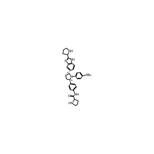 CC(C)(C)c1ccc(N2[C@@H](c3ccc(NC(=O)C4CCCN4)cc3)CC[C@@H]2c2ccc3[nH]c(C4CCCN4)nc3c2)cc1